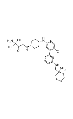 CC(C)(N)C(=O)CN[C@H]1CC[C@H](Nc2cc(-c3cccc(NCC4(N)CCOCC4)n3)c(Cl)cn2)CC1